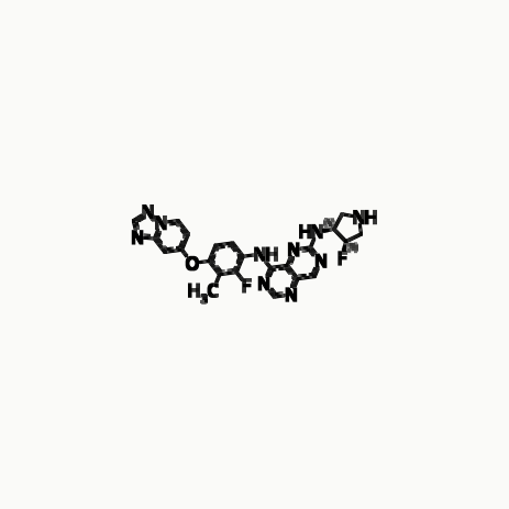 Cc1c(Oc2ccn3ncnc3c2)ccc(Nc2ncnc3cnc(N[C@H]4CNC[C@H]4F)nc23)c1F